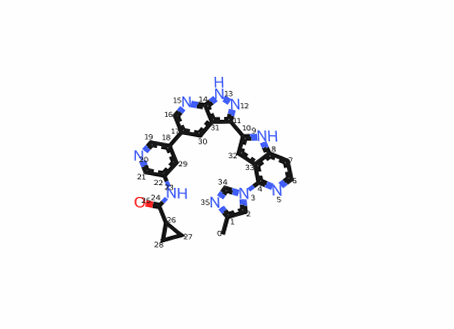 Cc1cn(-c2nccc3[nH]c(-c4n[nH]c5ncc(-c6cncc(NC(=O)C7CC7)c6)cc45)cc23)cn1